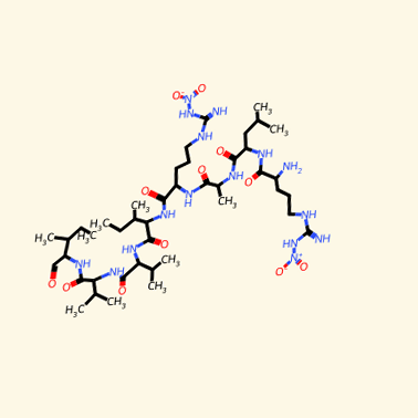 CCC(C)C(C=O)NC(=O)C(NC(=O)C(NC(=O)C(NC(=O)C(CCCNC(=N)N[N+](=O)[O-])NC(=O)C(C)NC(=O)C(CC(C)C)NC(=O)C(N)CCCNC(=N)N[N+](=O)[O-])C(C)CC)C(C)C)C(C)C